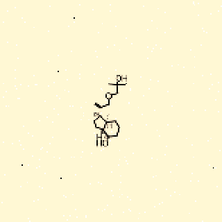 C=C(COCC(C)(C)O)[C@H]1CC[C@H]2[C@@H](O)CCC[C@]12C